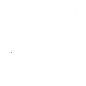 CNC(=O)c1ccc(C#N)cc1C